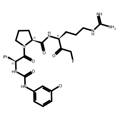 CC(C)[C@H](NC(=O)Nc1cccc(Cl)c1)C(=O)N1CCC[C@H]1C(=O)N[C@@H](CCCNC(=N)N)C(=O)CF